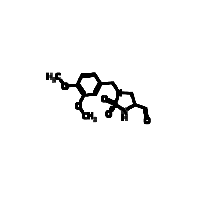 COc1ccc(CN2CC(C=O)NS2(=O)=O)cc1OC